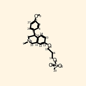 COc1ccc(C2CN(C)Cc3cc(OCCCOS(C)(=O)=O)ccc32)cc1